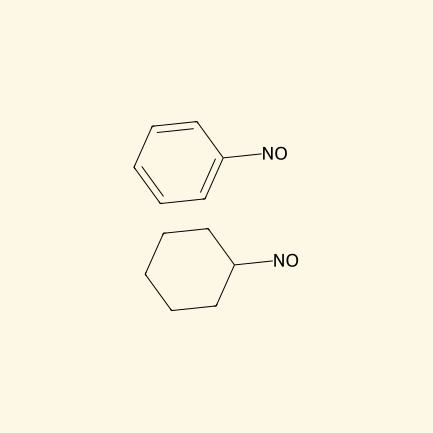 O=NC1CCCCC1.O=Nc1ccccc1